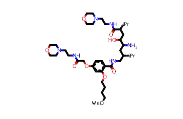 COCCCCOc1cc(OCC(=O)NCCN2CCOCC2)ccc1C(=O)NCC(CC(N)C(O)CC(C(=O)NCCN1CCOCC1)C(C)C)C(C)C